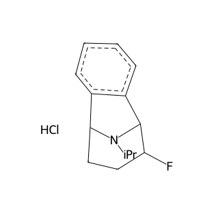 CC(C)N1C2CCC(F)C1c1ccccc12.Cl